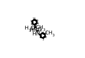 Cc1cccc(NC(=O)NC(C)(C)c2ccccc2)c1